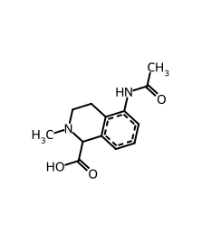 CC(=O)Nc1cccc2c1CCN(C)C2C(=O)O